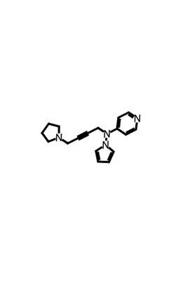 C(#CCN(c1ccncc1)n1cccc1)CN1CCCC1